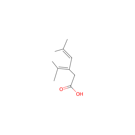 CC(C)=CC(CC(=O)O)=C(C)C